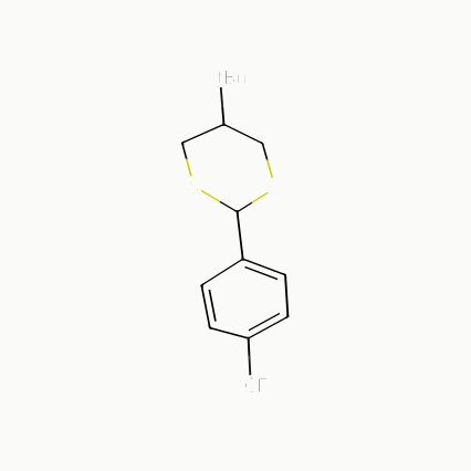 CC(C)(C)C1CSC(c2ccc(C(F)(F)F)cc2)SC1